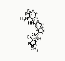 Cn1cc(NC(=O)c2cnn3ccc(N[C@@H]4CCCC(F)(F)[C@@H]4N)nc23)c(Cl)n1